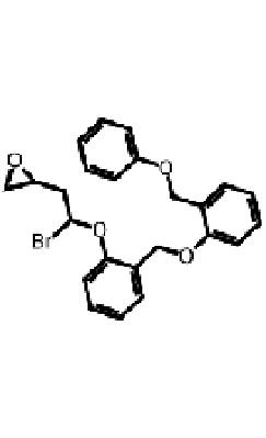 BrC(CC1CO1)Oc1ccccc1COc1ccccc1COc1ccccc1